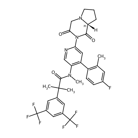 Cc1cc(F)ccc1-c1cc(N2C(=O)CN3CCC[C@@H]3C2=O)ncc1N(C)C(=O)C(C)(C)c1cc(C(F)(F)F)cc(C(F)(F)F)c1